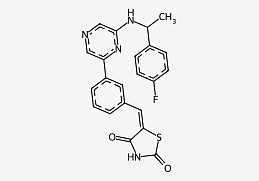 CC(Nc1cncc(-c2cccc(C=C3SC(=O)NC3=O)c2)n1)c1ccc(F)cc1